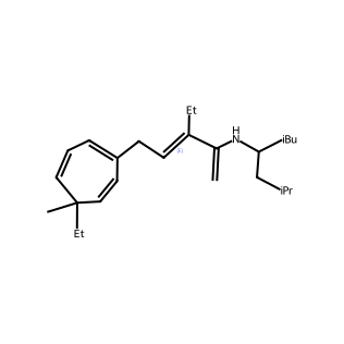 C=C(NC(CC(C)C)C(C)CC)/C(=C/CC1=CC=CC(C)(CC)C=C1)CC